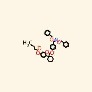 CCCCC(=O)Oc1ccc(C2(C(=O)Oc3ccc(/C(=N\OCc4ccccc4)OCc4ccccc4)cc3)CCCCC2)cc1